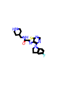 O=C(NCC1CCNCC1)c1nc2c(N3CCc4cc(F)ccc43)ncnc2s1